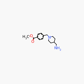 COC(=O)c1ccc(CN2CCC(CN)CC2)cc1